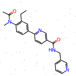 CCc1cc(-c2ccc(C(=O)NCc3cccnc3)cn2)ccc1N(C)C(C)=O